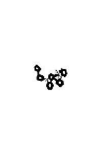 c1ccc(-c2cccc(-n3c4ccccc4c4c5c6ccccc6n6c7ccccc7nc6c5ccc43)c2)cc1